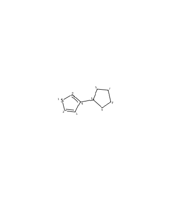 [c]1sccc1C1CCCC1